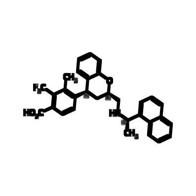 Cc1c([C@@H]2C[C@H](CN[C@H](C)c3cccc4ccccc34)Oc3ccccc32)ccc(C(=O)O)c1C(F)(F)F